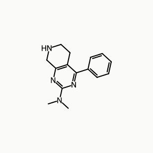 CN(C)c1nc2c(c(-c3ccccc3)n1)CCNC2